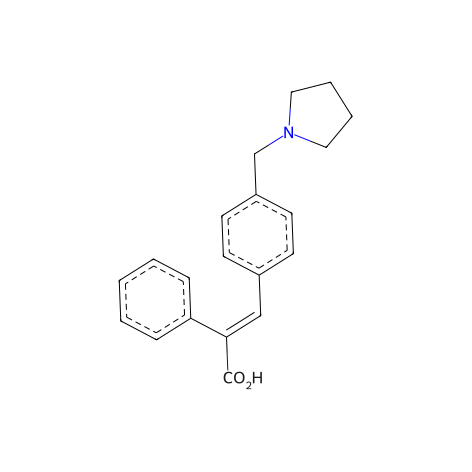 O=C(O)/C(=C/c1ccc(CN2CCCC2)cc1)c1ccccc1